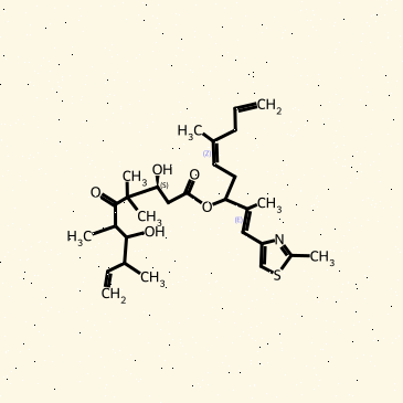 C=CC/C(C)=C\CC(OC(=O)C[C@H](O)C(C)(C)C(=O)C(C)C(O)C(C)C=C)/C(C)=C/c1csc(C)n1